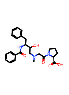 CN(CC(=O)N1CCC[C@H]1C(=O)O)CC(O)C(Cc1ccccc1)NC(=O)c1ccccc1